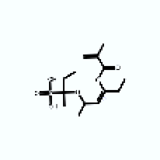 C=C(C)C(=O)O/C(=C\C(C)OC(C)(CC)P(=O)(O)O)CC